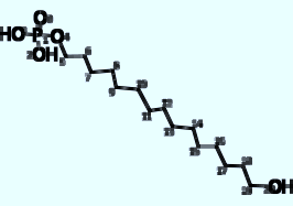 O=P(O)(O)OCCCCCCCCCCCCCCCO